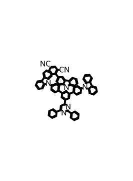 N#Cc1ccc(-c2ccc3c(c2)c2ccccc2n3-c2c(-c3ccc(-n4c5ccccc5c5ccccc54)cc3)cc(-c3cc(-c4ccccc4)nc(-c4ccccc4)n3)cc2-c2ccc(-n3c4ccccc4c4ccccc43)cc2)c(C#N)c1